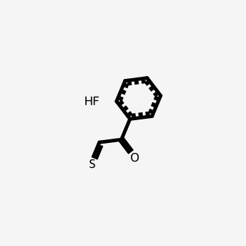 F.O=C(C=S)c1ccccc1